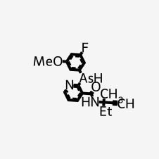 C#CC(C)(CC)NC(=O)c1cccnc1[AsH]c1cc(F)cc(OC)c1